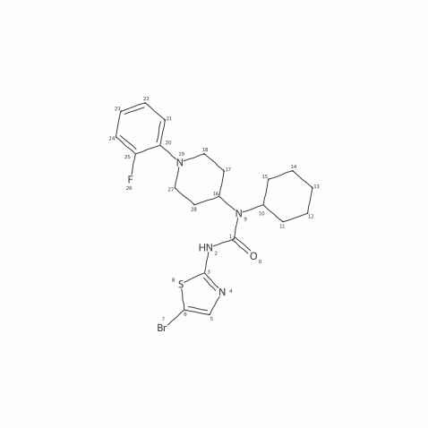 O=C(Nc1ncc(Br)s1)N(C1CCCCC1)C1CCN(c2ccccc2F)CC1